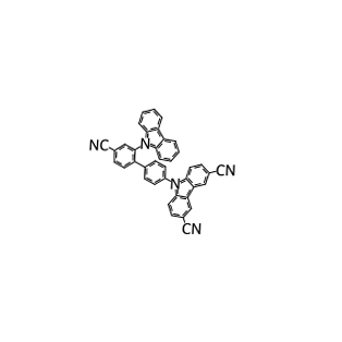 N#Cc1ccc(-c2ccc(-n3c4ccc(C#N)cc4c4cc(C#N)ccc43)cc2)c(-n2c3ccccc3c3ccccc32)c1